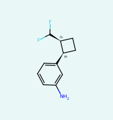 Nc1cccc([C@@H]2CC[C@@H]2C(F)F)c1